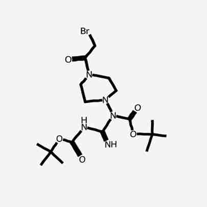 CC(C)(C)OC(=O)NC(=N)N(C(=O)OC(C)(C)C)N1CCN(C(=O)CBr)CC1